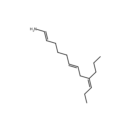 CCC=C(CC=CCCCC=CN)CCC